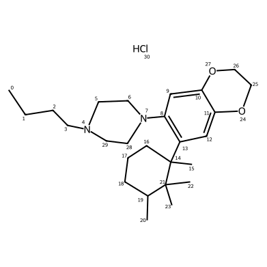 CCCCN1CCN(c2cc3c(cc2C2(C)CCCC(C)C2(C)C)OCCO3)CC1.Cl